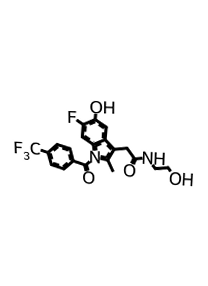 Cc1c(CC(=O)NCCO)c2cc(O)c(F)cc2n1C(=O)c1ccc(C(F)(F)F)cc1